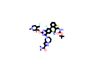 CN1CC/C(=C\F)[C@](C)(COc2nc(N3CCCn4nc(C(=O)N(C)C)cc4C3)c3cc(Cl)c(-c4cccc5sc(NC(=O)OC(C)(C)C)c(C#N)c45)c(F)c3n2)C1